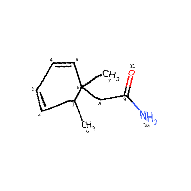 CC1C=CC=CC1(C)CC(N)=O